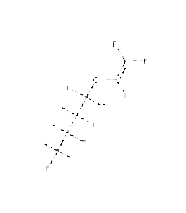 FC(F)=C(F)OC(F)(F)C(F)(F)C(F)(F)C(F)(F)F